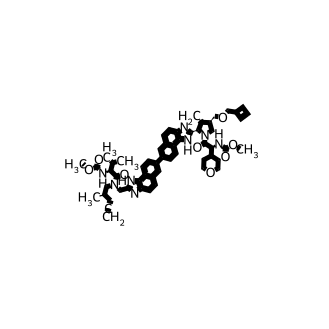 C=C=C[C@H](C)CN(Cc1nc2ccc3cc(-c4ccc5c(ccc6nc([C@@H]7C(=C)[C@H](COCC8C=CC8)CN7C(=O)[C@@H](NC(=O)OC)C7CCOCC7)[nH]c65)c4)ccc3c2[nH]1)C(=O)[C@@H](NC(=O)OC)C(C)C